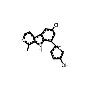 Cc1nccc2c1[nH]c1c(-c3ccc(O)cc3)cc(Cl)cc12